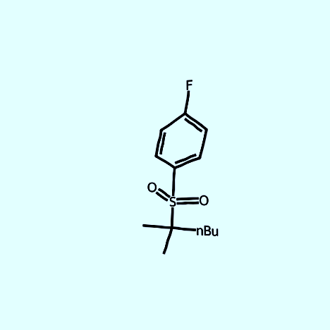 CCCCC(C)(C)S(=O)(=O)c1ccc(F)cc1